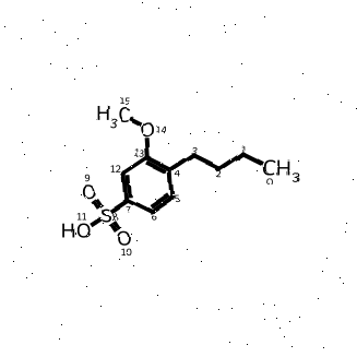 CCCCc1ccc(S(=O)(=O)O)cc1OC